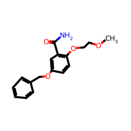 COCCOc1ccc(OCc2ccccc2)cc1C(N)=O